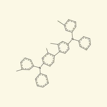 Cc1cccc(N(c2ccccc2)c2ccc(-c3ccc(N(c4ccccc4)c4cccc(C)c4)cc3C)c(C)c2)c1